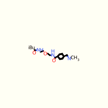 CCC(C)C(=O)NCCOCCNC(=O)c1ccc(/C=N/C)cc1